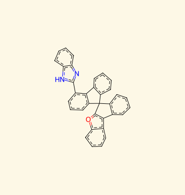 c1ccc2c(c1)-c1c(-c3nc4ccccc4[nH]3)cccc1C21c2ccccc2-c2c1oc1ccccc21